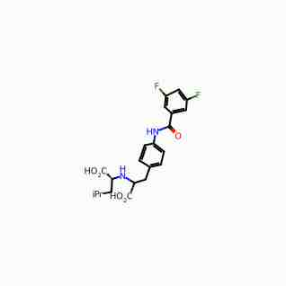 CC(C)C[C@H](NC(Cc1ccc(NC(=O)c2cc(F)cc(F)c2)cc1)C(=O)O)C(=O)O